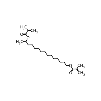 C=C(C)C(=O)OCCCCCCCCCCCCCC(C)OC(=O)C(=C)C